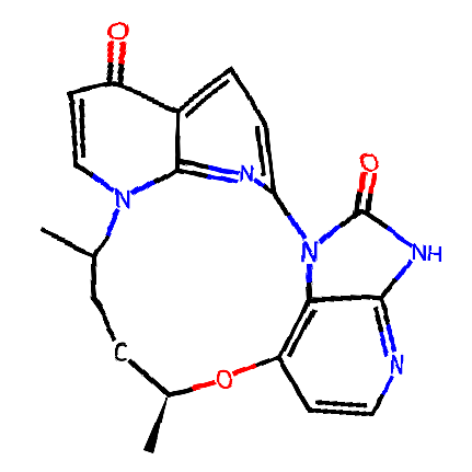 CC1CC[C@H](C)Oc2ccnc3[nH]c(=O)n(c23)-c2ccc3c(=O)ccn1c3n2